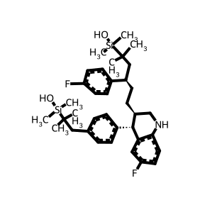 CC(C)(Cc1ccc([C@H]2c3cc(F)ccc3NC[C@@H]2CC[C@H](CC(C)(C)[Si](C)(C)O)c2ccc(F)cc2)cc1)[Si](C)(C)O